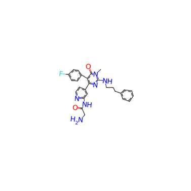 Cn1c(NCCCc2ccccc2)nc(-c2ccnc(NC(=O)CN)c2)c(-c2ccc(F)cc2)c1=O